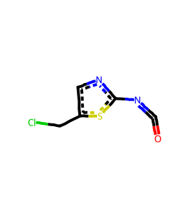 O=C=Nc1ncc(CCl)s1